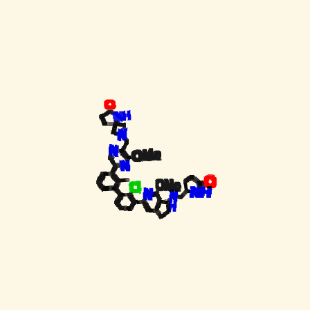 COc1nc(-c2cccc(-c3cccc(-c4cc5c(c(OC)n4)C(NCC4CCC(=O)N4)CC5)c3Cl)c2C)cnc1CN1CC2(CCC(=O)N2)C1